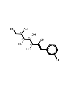 OC[C@@H](O)[C@@H](O)[C@H](O)[C@@H](O)C(O)=Cc1cccc(Cl)c1